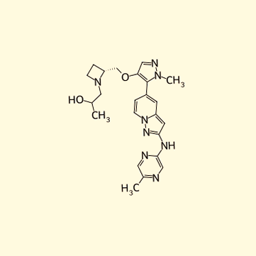 Cc1cnc(Nc2cc3cc(-c4c(OC[C@H]5CCN5CC(C)O)cnn4C)ccn3n2)cn1